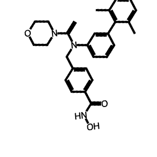 C=C(N1CCOCC1)N(Cc1ccc(C(=O)NO)cc1)c1cccc(-c2c(C)cccc2C)c1